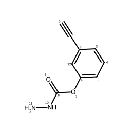 C#Cc1cccc(OC(=O)NN)c1